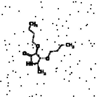 CCCCO[C@H]1[C@H](OCCCC)C(=O)N[C@@H]1C